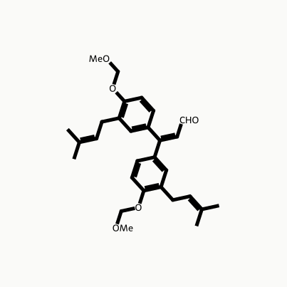 COCOc1ccc(C(=CC=O)c2ccc(OCOC)c(CC=C(C)C)c2)cc1CC=C(C)C